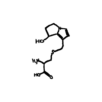 NC(CSCc1ccn2c1C(O)CC2)C(=O)O